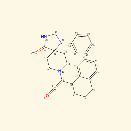 O=C=C(C1CCCc2ccccc21)N1CCC2(CC1)C(=O)NCN2c1ccccc1